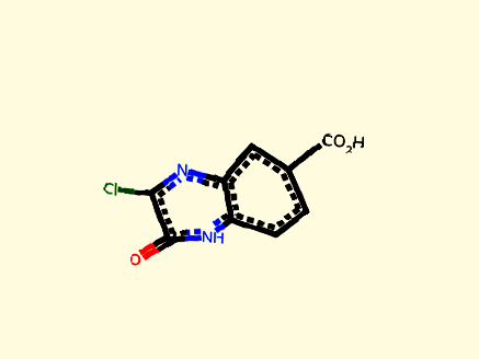 O=C(O)c1ccc2[nH]c(=O)c(Cl)nc2c1